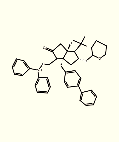 CC(C)(C)[C@@H]1[C@H]2CC(=O)C(CO[SiH](c3ccccc3)c3ccccc3)[C@]2(Cc2ccc(-c3ccccc3)cc2)C[C@H]1OC1CCCCO1